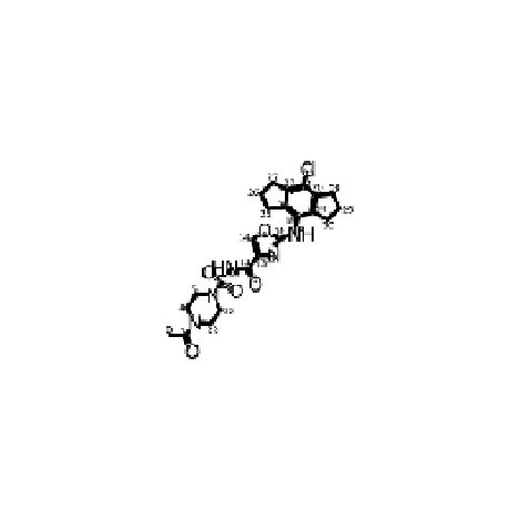 CC(=O)N1CCN(S(=O)(=O)NC(=O)c2coc(Nc3c4c(c(Cl)c5c3CCC5)CCC4)n2)CC1